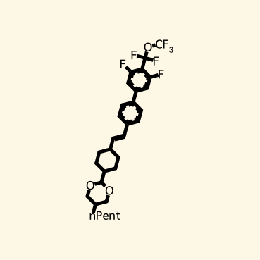 CCCCCC1COC(C2CCC(/C=C/c3ccc(-c4cc(F)c(C(F)(F)OC(F)(F)F)c(F)c4)cc3)CC2)OC1